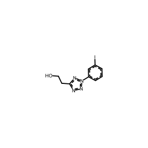 OCCc1nnn(-c2cccc(I)c2)n1